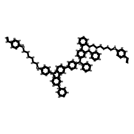 C=Cc1ccc(OCCCCCCCc2ccccc2-c2ccc(N(c3ccccc3)c3ccc(-c4ccc5c(c4)c4cc(-c6ccccc6)ccc4n5-c4ccc(OCCCCCCOc5ccc(C=C)cc5)cc4)cc3)cc2Cc2ccccc2)cc1